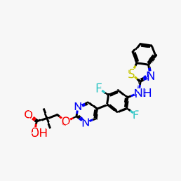 CC(C)(COc1ncc(-c2cc(F)c(Nc3nc4ccccc4s3)cc2F)cn1)C(=O)O